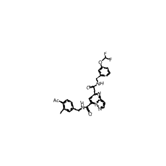 CC(=O)c1ccc(CNC(=O)c2cc(C(=O)NCc3cccc(OC(F)F)c3)nc3ccnn23)cc1C